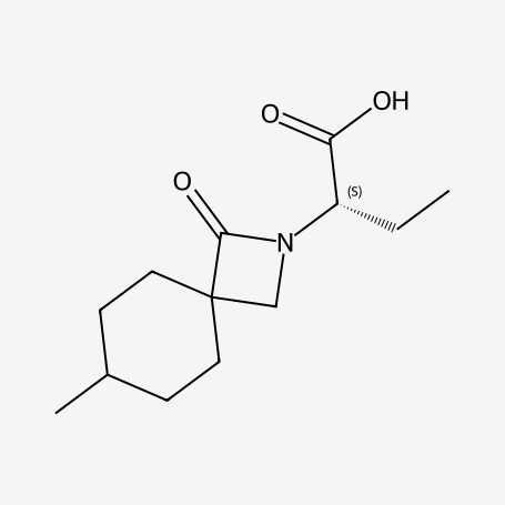 CC[C@@H](C(=O)O)N1CC2(CCC(C)CC2)C1=O